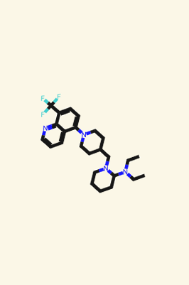 CCN(CC)C1CCCCN1CC1CCN(c2ccc(C(F)(F)F)c3ncccc23)CC1